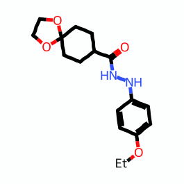 CCOc1ccc(NNC(=O)C2CCC3(CC2)OCCO3)cc1